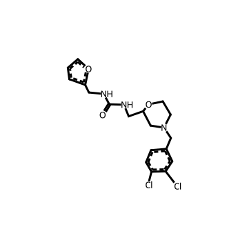 O=C(NCc1ccco1)NCC1CN(Cc2ccc(Cl)c(Cl)c2)CCO1